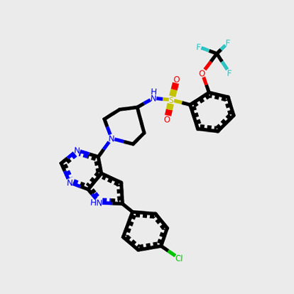 O=S(=O)(NC1CCN(c2ncnc3[nH]c(-c4ccc(Cl)cc4)cc23)CC1)c1ccccc1OC(F)(F)F